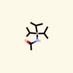 CC(=O)N[Si](C(C)C)(C(C)C)C(C)C